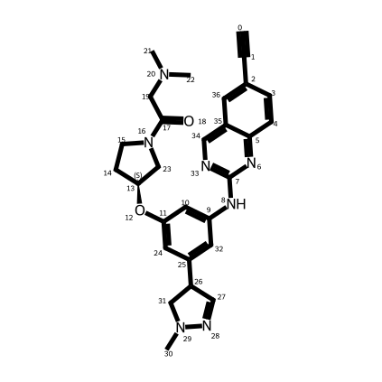 C#Cc1ccc2nc(Nc3cc(O[C@H]4CCN(C(=O)CN(C)C)C4)cc(C4C=NN(C)C4)c3)ncc2c1